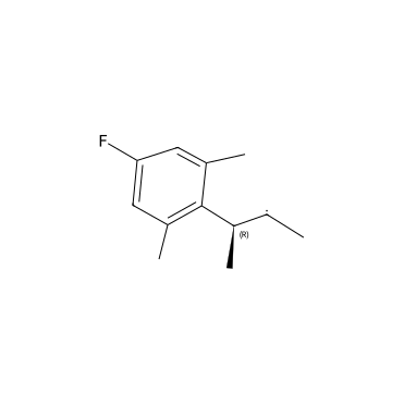 C[CH][C@@H](C)c1c(C)cc(F)cc1C